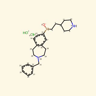 Cl.Cl.[O-][S+](CCC1CCNCC1)c1ccc2c(c1)CCN(Cc1ccccc1)CC2